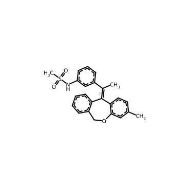 C/C(=C1/c2ccccc2COc2cc(C)ccc21)c1cccc(NS(C)(=O)=O)c1